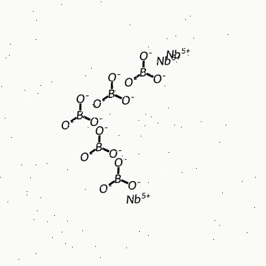 [Nb+5].[Nb+5].[Nb+5].[O-]B([O-])[O-].[O-]B([O-])[O-].[O-]B([O-])[O-].[O-]B([O-])[O-].[O-]B([O-])[O-]